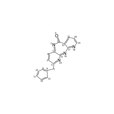 O=c1nc2ccc(Cc3ccccc3)nc2nc2ncccc12